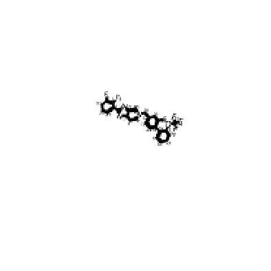 FC1=C(F)C(c2nc3ccn(Cc4ccc(-c5ccccc5OC(F)(F)F)c(F)c4)cc-3n2)=CCC1